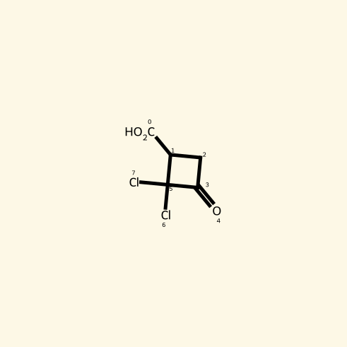 O=C(O)C1CC(=O)C1(Cl)Cl